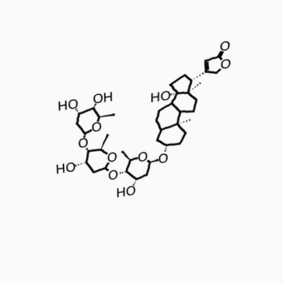 C[C@H]1O[C@@H](O[C@H]2[C@@H](O)CC(O[C@H]3[C@@H](O)C[C@H](O[C@H]4CC[C@@]5(C)C(CCC6C5CC[C@]5(C)[C@@H](C7=CC(=O)OC7)CC[C@]65O)C4)O[C@@H]3C)O[C@@H]2C)C[C@H](O)[C@@H]1O